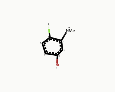 CNc1cc(Br)ccc1F